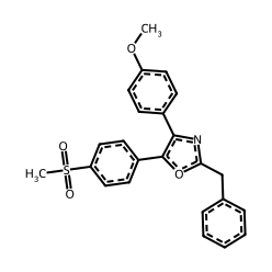 COc1ccc(-c2nc(Cc3ccccc3)oc2-c2ccc(S(C)(=O)=O)cc2)cc1